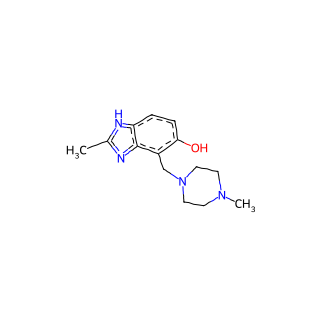 Cc1nc2c(CN3CCN(C)CC3)c(O)ccc2[nH]1